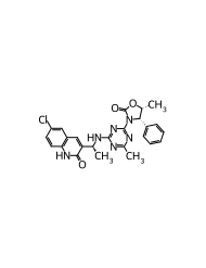 Cc1nc(N[C@@H](C)c2cc3cc(Cl)ccc3[nH]c2=O)nc(N2C(=O)O[C@H](C)[C@@H]2c2ccccc2)n1